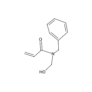 C=CC(=O)N(CO)Cc1ccccc1